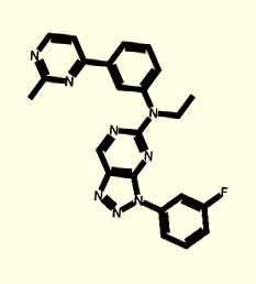 CCN(c1cccc(-c2ccnc(C)n2)c1)c1ncc2nnn(-c3cccc(F)c3)c2n1